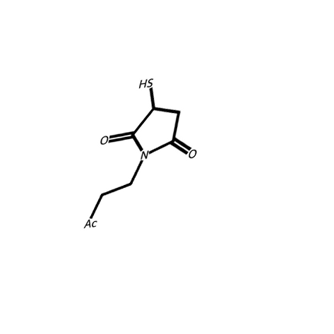 CC(=O)CCN1C(=O)CC(S)C1=O